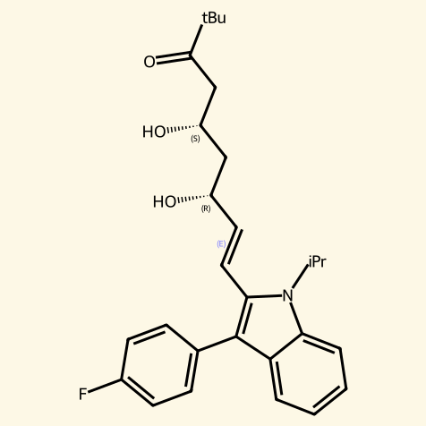 CC(C)n1c(/C=C/[C@H](O)C[C@H](O)CC(=O)C(C)(C)C)c(-c2ccc(F)cc2)c2ccccc21